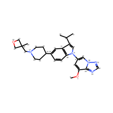 COc1cc(-n2cc(C(C)C)c3cc(C4CCN(CC5(C)COC5)CC4)ccc32)cn2ncnc12